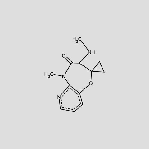 CNC1C(=O)N(C)c2ncccc2OC12CC2